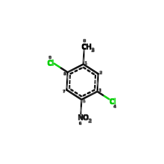 Cc1cc(Cl)c([N+](=O)[O-])cc1Cl